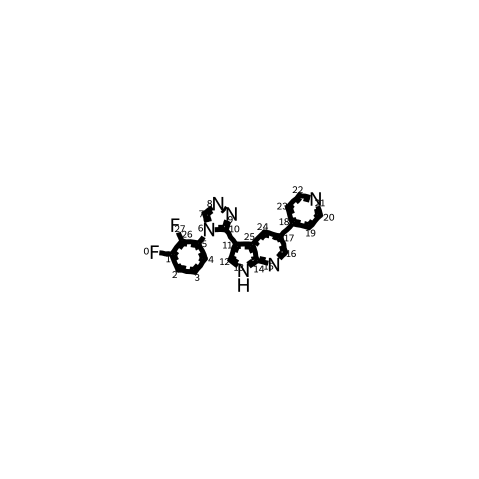 Fc1cccc(-n2cnnc2-c2c[nH]c3ncc(-c4ccncc4)cc23)c1F